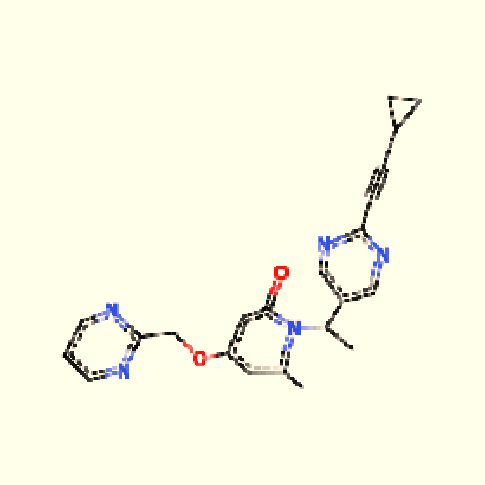 Cc1cc(OCc2ncccn2)cc(=O)n1C(C)c1cnc(C#CC2CC2)nc1